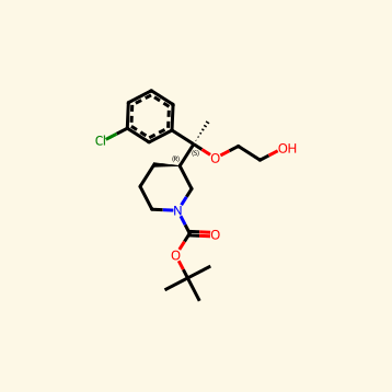 CC(C)(C)OC(=O)N1CCC[C@@H]([C@](C)(OCCO)c2cccc(Cl)c2)C1